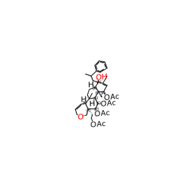 CC(=O)OCC[C@]12COCC=C[C@H]1C1(C)CC[C@@H]3[C@](C)([C@H](OC(C)=O)C=C(C)[C@@]3(O)CC(C)c3ccccc3)[C@H]1[C@H](OC(C)=O)[C@@H]2OC(C)=O